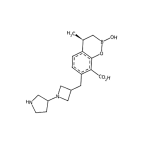 C[C@H]1CB(O)Oc2c1ccc(CC1CN(C3CCNC3)C1)c2C(=O)O